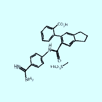 CS(=O)(=O)O.N=C(N)c1ccc(NC(=O)c2cc3c(cc2-c2ccccc2C(=O)O)CCC3)cc1